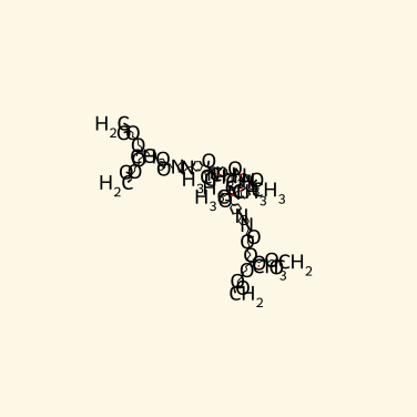 C=CC(=O)OCCOCC(CC)(COCCOC(=O)C=C)COCCOC(=O)CCN1CCN(c2ccc(C(=O)C(CC)(Cc3ccc(C(C)C(=O)N4CCN(C(=O)C(C)c5ccc(CC(CC)(C(=O)c6ccc(N7CCN(CCC(=O)OCCOCC(CC)(COCCOC(=O)C=C)COCCOC(=O)C=C)CC7)cc6)N(C)C)cc5)CC4)cc3)N(C)C)cc2)CC1